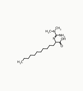 CCCCCCCCCCCC(N=C(N)N(C)C)C(=O)O